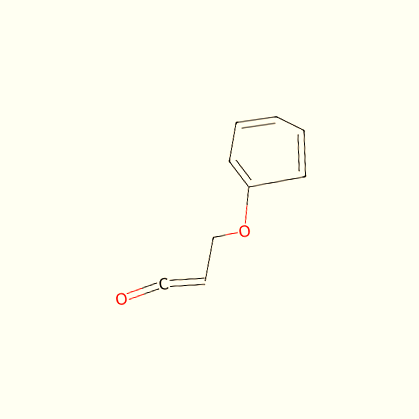 O=C=CCOc1ccccc1